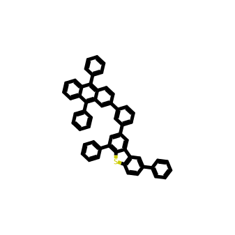 c1ccc(-c2ccc3sc4c(-c5ccccc5)cc(-c5cccc(-c6ccc7c(-c8ccccc8)c8ccccc8c(-c8ccccc8)c7c6)c5)cc4c3c2)cc1